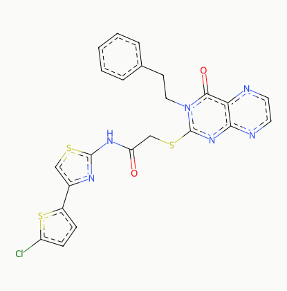 O=C(CSc1nc2nccnc2c(=O)n1CCc1ccccc1)Nc1nc(-c2ccc(Cl)s2)cs1